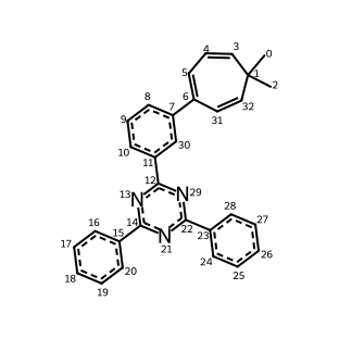 CC1(C)C=CC=C(c2cccc(-c3nc(-c4ccccc4)nc(-c4ccccc4)n3)c2)C=C1